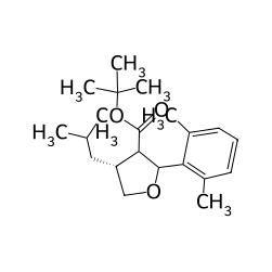 Cc1cccc(C)c1C1OC[C@H](CC(C)C)C1C(=O)OC(C)(C)C